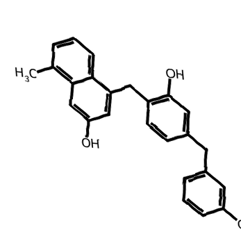 Cc1cccc2c(Cc3ccc(Cc4cccc(O)c4)cc3O)cc(O)cc12